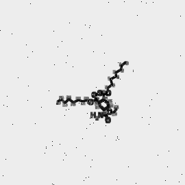 CCCCCCCCOC(=O)c1ccccc1C(=O)OCCCCCCCC.CCOC(N)=O